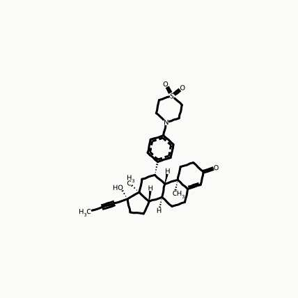 CC#C[C@]1(O)CC[C@H]2[C@@H]3CCC4=CC(=O)CC[C@]4(C)[C@H]3[C@@H](c3ccc(N4CCS(=O)(=O)CC4)cc3)C[C@@]21C